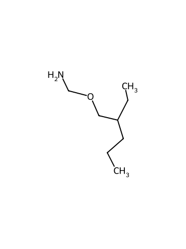 CCCC(CC)COCN